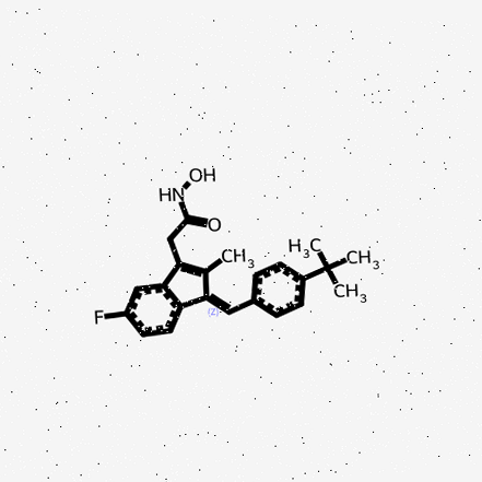 CC1=C(CC(=O)NO)c2cc(F)ccc2/C1=C/c1ccc(C(C)(C)C)cc1